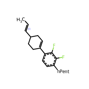 C/C=C/C1CC=C(c2ccc(CCCCC)c(F)c2F)CC1